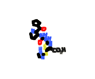 O=C(Nc1nc(C(=O)O)c(Sc2ncc[nH]2)s1)Nc1cccnc1C(=O)C1CCCC1